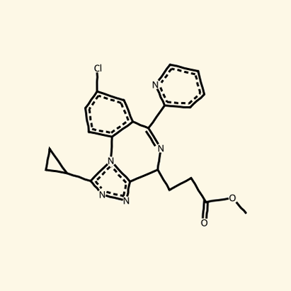 COC(=O)CCC1N=C(c2ccccn2)c2cc(Cl)ccc2-n2c(C3CC3)nnc21